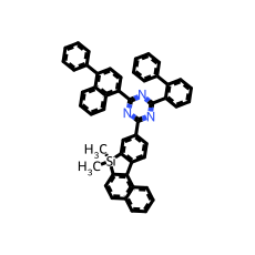 C[Si]1(C)c2cc(-c3nc(-c4ccccc4-c4ccccc4)nc(-c4ccc(-c5ccccc5)c5ccccc45)n3)ccc2-c2c1ccc1ccccc21